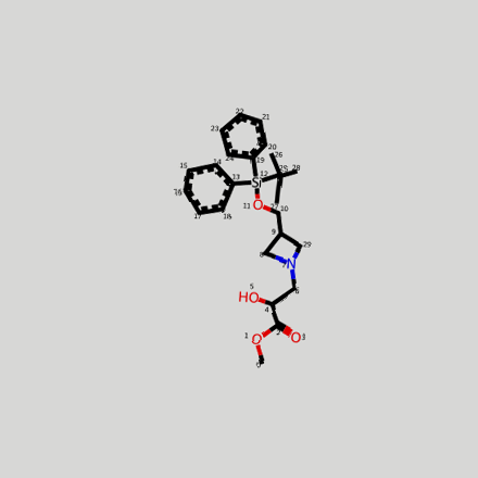 COC(=O)C(O)CN1CC(CO[Si](c2ccccc2)(c2ccccc2)C(C)(C)C)C1